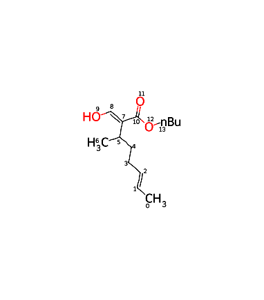 CC=CCCC(C)C(=CO)C(=O)OCCCC